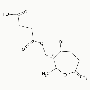 C=C1CCC(O)[C@@H](COC(=O)CCC(=O)O)C(C)O1